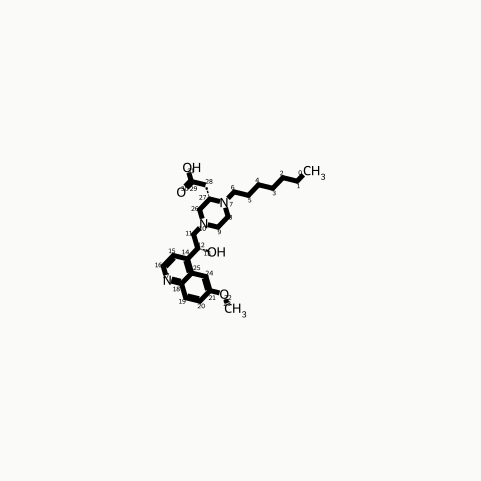 CCCCCCCN1CCN(C[C@H](O)c2ccnc3ccc(OC)cc23)C[C@@H]1CC(=O)O